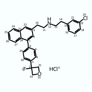 Cl.FC1(c2ccc(-c3cc(CCNCCc4cccc(Cl)c4)cc4ccccc34)cc2)COC1